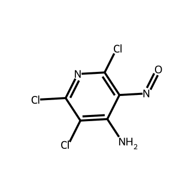 Nc1c(Cl)c(Cl)nc(Cl)c1N=O